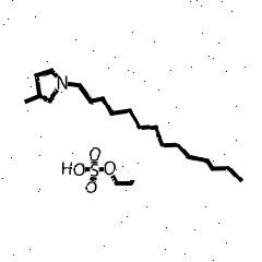 CCCCCCCCCCCCCCN1CCC(C)C1.CCOS(=O)(=O)O